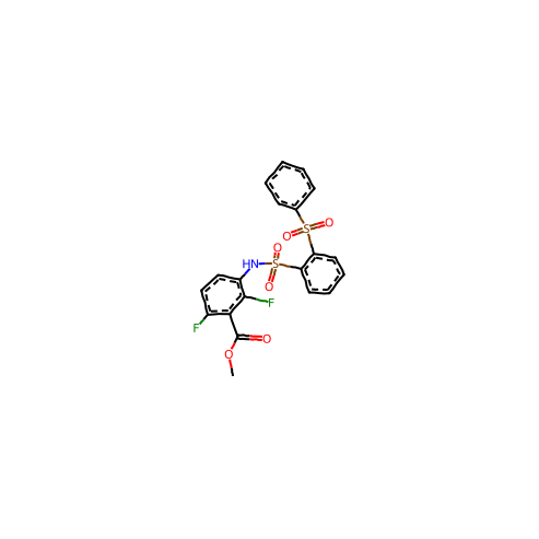 COC(=O)c1c(F)ccc(NS(=O)(=O)c2ccccc2S(=O)(=O)c2ccccc2)c1F